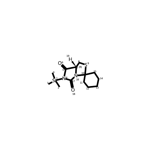 C[Si](C)(C)N1C(=O)[C@@H]2CSC3(CCCCC3)N2C1=O